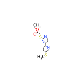 CCOC(=O)CSc1nccc(-c2ccc(SC)cn2)n1